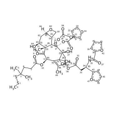 CSSC(C)(C)CCC(=O)O[C@H]1C(=O)[C@@]2(C)[C@H]([C@H](OC(=O)c3ccoc3)[C@]3(O)C[C@H](OC(=O)C[C@@H](NC(=O)c4ccco4)c4ccco4)C(C)=C1C3(C)C)[C@]1(OC(C)=O)CO[C@@H]1C[C@@H]2O